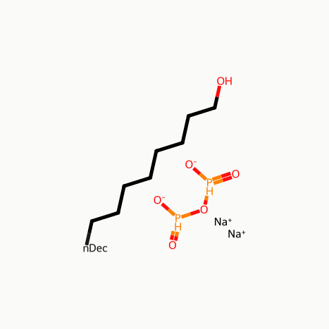 CCCCCCCCCCCCCCCCCCO.O=[PH]([O-])O[PH](=O)[O-].[Na+].[Na+]